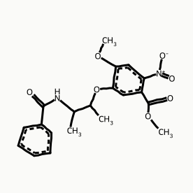 COC(=O)c1cc(OC(C)C(C)NC(=O)c2ccccc2)c(OC)cc1[N+](=O)[O-]